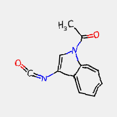 CC(=O)n1cc(N=C=O)c2ccccc21